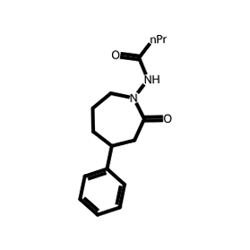 CCCC(=O)NN1CCCC(c2ccccc2)CC1=O